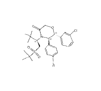 CC(C)(C)[C@H](CS(=O)(=O)C(C)(C)C)N1C(=O)CO[C@H](c2cccc(Cl)c2)[C@H]1c1ccc(Cl)cc1